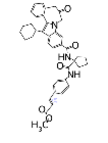 COC(=O)/C=C/c1ccc(NC(=O)C2(NC(=O)c3ccc4c(C5CCCCC5)c5n(c4c3)CC(=O)Cc3ccccc3-5)CCCC2)cc1